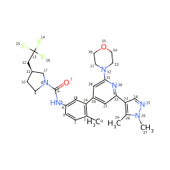 Cc1ccc(NC(=O)N2CC[C@@H](CC(F)(F)F)C2)cc1-c1cc(-c2cnn(C)c2C)nc(N2CCOCC2)c1